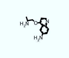 CC(N)COc1ccnc2ccc(N)cc12